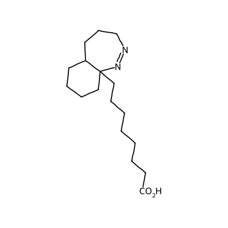 O=C(O)CCCCCCCC12CCCCC1CCCN=N2